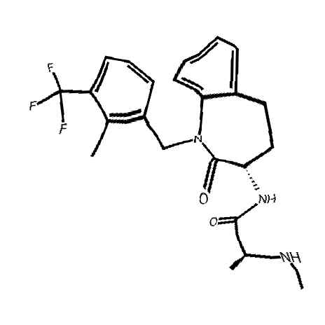 CN[C@@H](C)C(=O)N[C@H]1CCc2ccccc2N(Cc2cccc(C(F)(F)F)c2C)C1=O